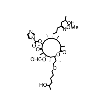 CON=C(CCC[C@@H]1[C@@H](C)CC(C)C(=O)OC([C@H](C)COCCCCC(C)O)[C@H](C)[C@@H](OC=O)C(C)C(=O)[C@@](C)(OC(=O)n2ccnc2)C[C@@H]1C)CC(C)O